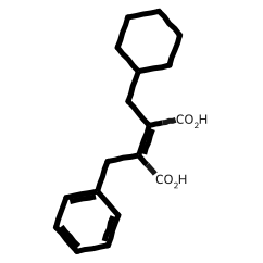 O=C(O)/C(Cc1ccccc1)=C(/CC1CCCCC1)C(=O)O